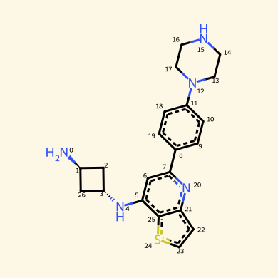 N[C@H]1C[C@H](Nc2cc(-c3ccc(N4CCNCC4)cc3)nc3ccsc23)C1